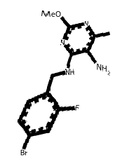 COc1nc(C)c(N)c(NCc2ccc(Br)cc2F)n1